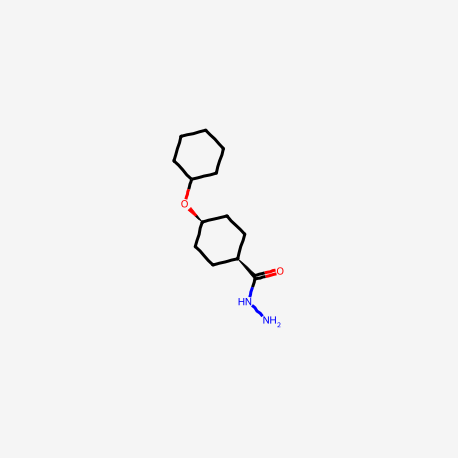 NNC(=O)[C@H]1CC[C@@H](OC2CCCCC2)CC1